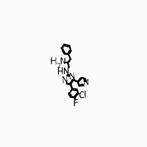 NC(CNc1ncc(-c2ccc(F)c(Cl)c2)c(-c2ccncc2)n1)Cc1ccccc1